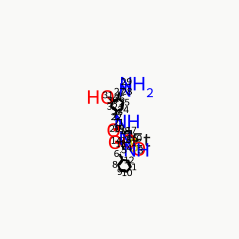 CCS(=O)(=O)N[C@H](Cc1ccccc1)C(=O)N1CC[C@H]1C(=O)NCc1ccc(C=NN)c(O)c1